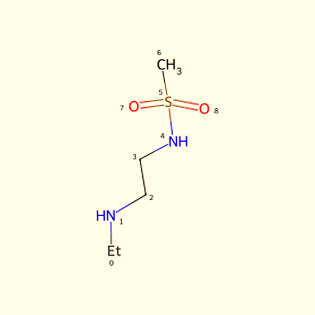 CCNCCNS(C)(=O)=O